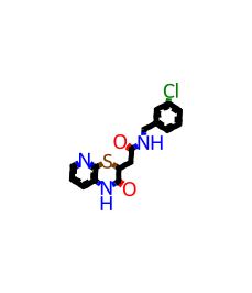 O=C(CC1Sc2ncccc2NC1=O)NCc1cccc(Cl)c1